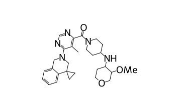 COC1COCCC1NC1CCN(C(=O)c2ncnc(N3Cc4ccccc4C4(CC4)C3)c2C)CC1